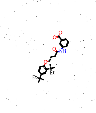 CCC(C)(C)c1ccc(OCCCC(=O)Nc2cccc(C([O])=O)c2)c(C(C)(C)CC)c1